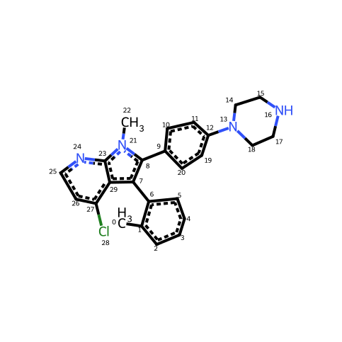 Cc1ccccc1-c1c(-c2ccc(N3CCNCC3)cc2)n(C)c2nccc(Cl)c12